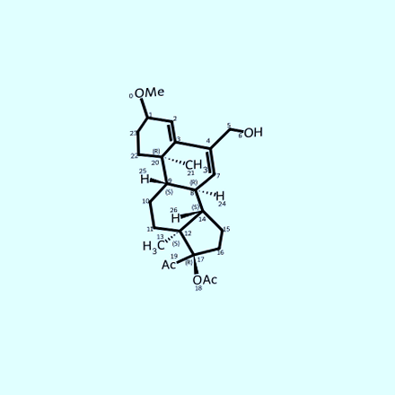 COC1C=C2C(CO)=C[C@@H]3[C@H](CC[C@@]4(C)[C@H]3CC[C@]4(OC(C)=O)C(C)=O)[C@@]2(C)CC1